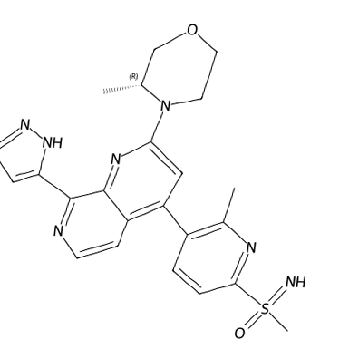 Cc1nc(S(C)(=N)=O)ccc1-c1cc(N2CCOC[C@H]2C)nc2c(-c3ccn[nH]3)nccc12